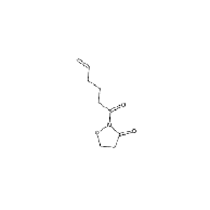 C=CCCCC(=O)N1OCCC1=O